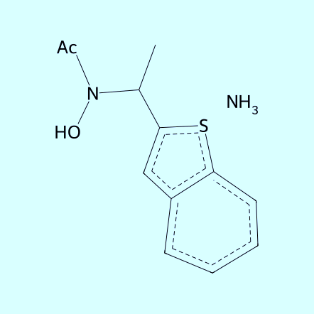 CC(=O)N(O)C(C)c1cc2ccccc2s1.N